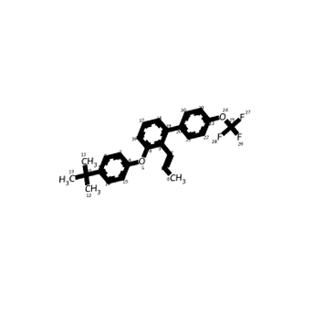 C/C=C/c1c(Oc2ccc(C(C)(C)C)cc2)cccc1-c1ccc(OC(F)(F)F)cc1